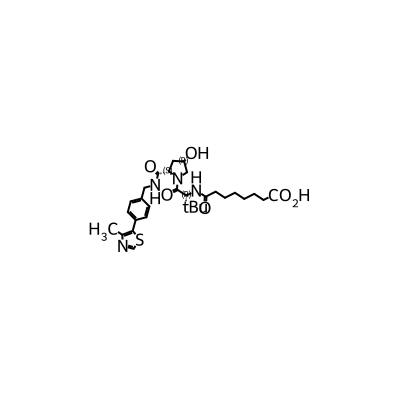 Cc1ncsc1-c1ccc(CNC(=O)[C@@H]2C[C@@H](O)CN2C(=O)[C@H](NC(=O)CCCCCCC(=O)O)C(C)(C)C)cc1